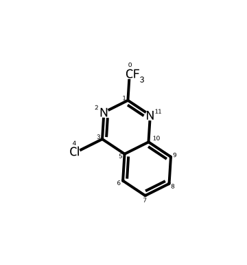 FC(F)(F)c1nc(Cl)c2ccccc2n1